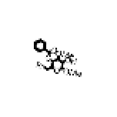 COC1OC(CBr)C(OC(=O)c2ccccc2)C(OC)C1O